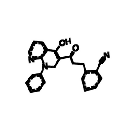 N#Cc1ccccc1CCC(=O)C1=C(O)c2cccnc2N(c2ccccc2)C1